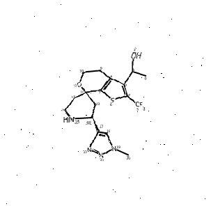 CC(O)c1c(C(F)(F)F)sc2c1CCOC21CCN[C@H](c2cn(C)nn2)C1